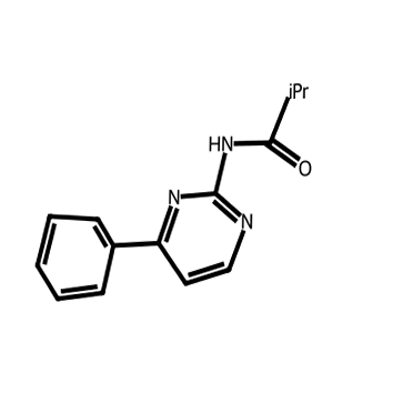 CC(C)C(=O)Nc1nccc(-c2ccccc2)n1